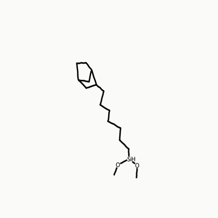 CO[SiH](CCCCCCCC1CC2CCC1C2)OC